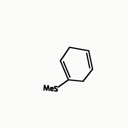 CSC1=CCC=CC1